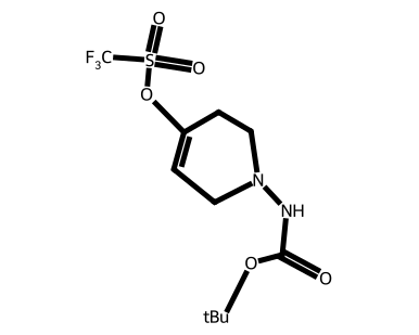 CC(C)(C)OC(=O)NN1CC=C(OS(=O)(=O)C(F)(F)F)CC1